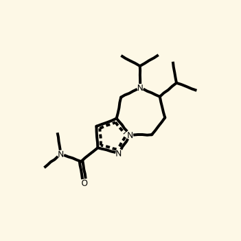 CC(C)C1CCn2nc(C(=O)N(C)C)cc2CN1C(C)C